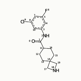 O=C(Nc1cc(F)cc(Cl)c1)C1CCC2(CC1)CNC2